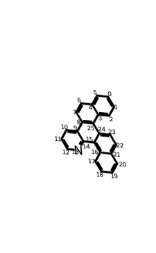 c1ccc2c(c1)ccc1c3cccnc3c3c4ccccc4ccc3c21